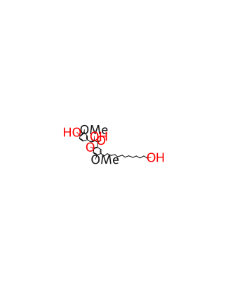 COc1cc(-c2oc3cc(OC)c(CCCCCCCCCCCCCO)cc3c(=O)c2O)ccc1O